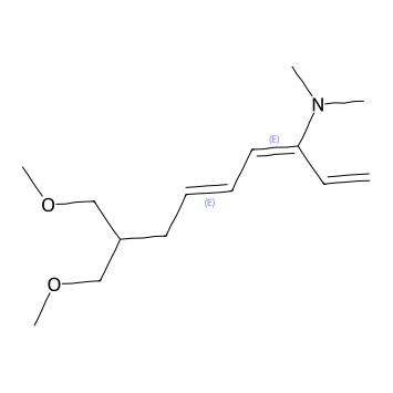 C=C/C(=C\C=C\CC(COC)COC)N(C)C